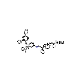 CC(C)(C)OC(=O)CN1CCN(C(=O)/C=C/c2ccc(Sc3ccc(Cl)cc3Cl)c([N+](=O)[O-])c2)CC1